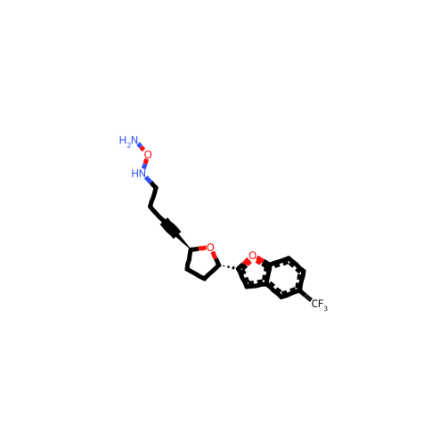 NONCCC#C[C@@H]1CC[C@@H](c2cc3cc(C(F)(F)F)ccc3o2)O1